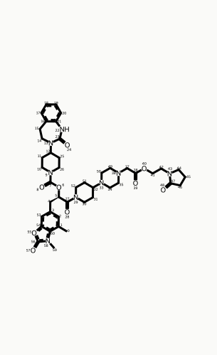 Cc1cc(C[C@@H](OC(=O)N2CCC(N3CCc4ccccc4NC3=O)CC2)C(=O)N2CCC(N3CCN(CC(=O)OCCN4CCCC4=O)CC3)CC2)cc2oc(=O)n(C)c12